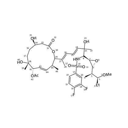 CC[C@H](OC)[C@@H](C)[C@H]1O[C@@H]1C(NS(=O)(=O)c1ccc(F)c(F)c1)C(C)(O)/C=C/C=C(\C)C1OC(=O)C[C@H](O)CC[C@@](C)(O)[C@@H](OC(C)=O)/C=C/[C@@H]1C